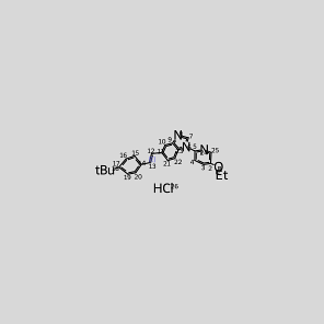 CCOc1ccc(-n2cnc3cc(/C=C/c4ccc(C(C)(C)C)cc4)ccc32)nc1.Cl